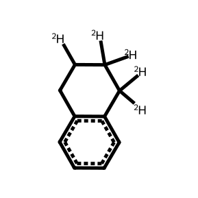 [2H]C1Cc2ccccc2C([2H])([2H])C1([2H])[2H]